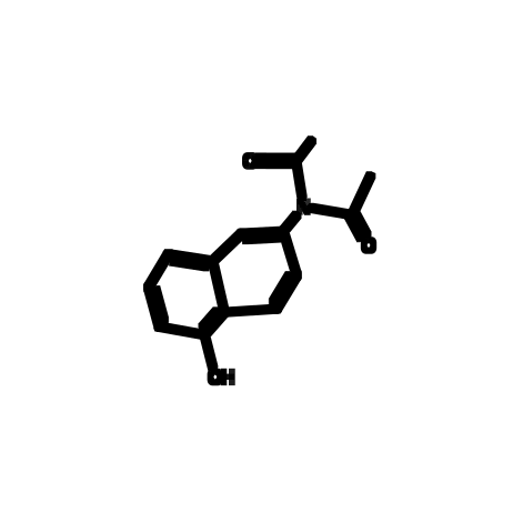 CC(=O)N(C(C)=O)c1ccc2c(O)cccc2c1